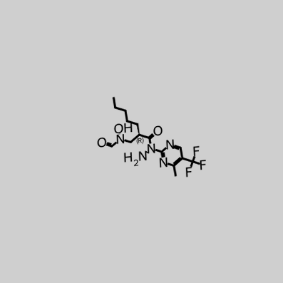 CCCCC[C@H](CN(O)C=O)C(=O)N(N)c1ncc(C(F)(F)F)c(C)n1